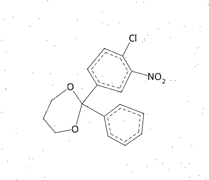 O=[N+]([O-])c1cc(C2(c3ccccc3)OCCCO2)ccc1Cl